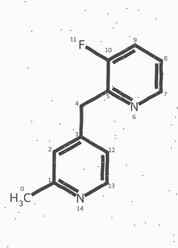 Cc1cc(Cc2ncccc2F)ccn1